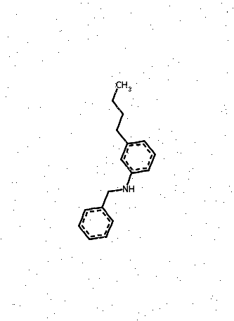 CCCCc1cccc(NCc2ccccc2)c1